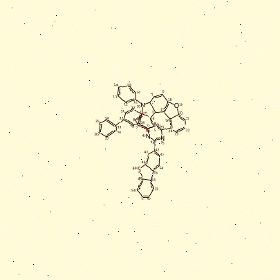 C1=CC2C(c3ccccc3N2c2ccccc2)c2c1oc1cccc(-c3nc(-c4cccc(-c5ccccc5)c4)nc(-c4ccc5c(c4)sc4ccccc45)n3)c21